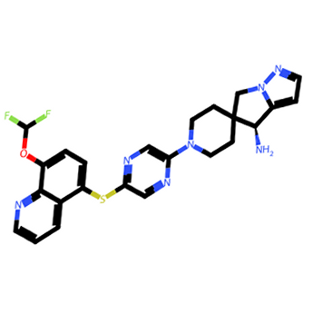 N[C@@H]1c2ccnn2CC12CCN(c1cnc(Sc3ccc(OC(F)F)c4ncccc34)cn1)CC2